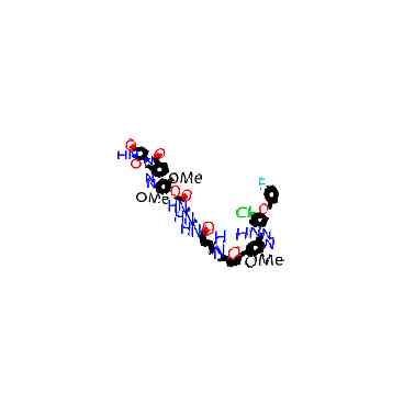 COc1cc2ncnc(Nc3ccc(OCc4cccc(F)c4)c(Cl)c3)c2cc1-c1ccc(CNCCCC(=O)NCNCNC(=O)COc2c(OC)cc(/N=N\c3cccc4c3CN(C3CCC(=O)NC3=O)C4=O)cc2OC)o1